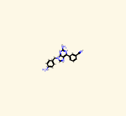 N#Cc1cccc(-c2nc(N)nc3c2ncn3Cc2ccc(N)cc2)c1